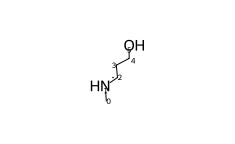 CN[CH]CCO